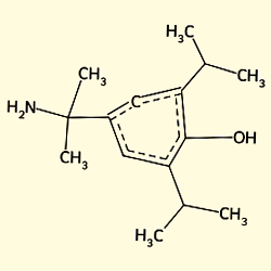 CC(C)c1cc(C(C)(C)N)cc(C(C)C)c1O